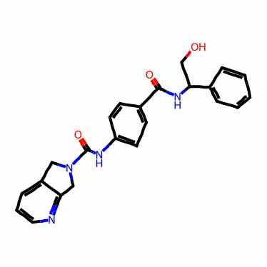 O=C(NC(CO)c1ccccc1)c1ccc(NC(=O)N2Cc3cccnc3C2)cc1